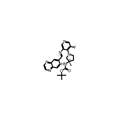 CC(C)(C)OC(=O)N[C@@]1(C)CCN(c2c(F)cncc2/N=C/c2ccc3nccnc3c2)C1